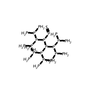 PP(P)P(P(P)P)P(P=S)P(P(P(P)P)P(P)P)P(P(P)P)P(P)P